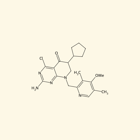 COc1c(C)cnc(CN2CC(C3CCCC3)C(=O)c3c(Cl)nc(N)nc32)c1C